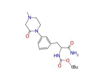 CN1CCN(c2cccc(CC(NC(=O)OC(C)(C)C)C(N)=O)c2)C(=O)C1